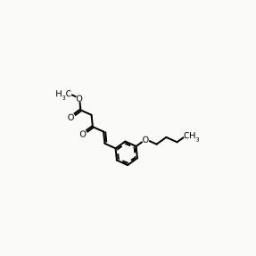 CCCCOc1cccc(C=CC(=O)CC(=O)OC)c1